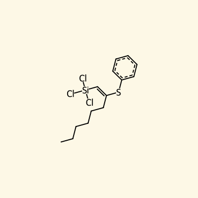 CCCCCCC(=C[Si](Cl)(Cl)Cl)Sc1ccccc1